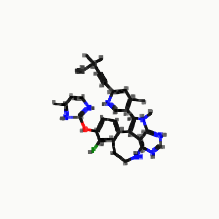 Cc1ccnc(Oc2ccc3c(c2F)CCNc2ncnc4c2c-3c(-c2cnc(C#C[Si](C)(C)C(C)(C)C)cc2C)n4C)n1